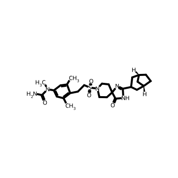 Cc1cc(N(C)C(N)=O)cc(C)c1CCS(=O)(=O)N1CCC2(CC1)N=C(C1C[C@H]3CC[C@@H](C1)C3)NC2=O